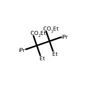 CCOC(=O)C(CC)(C(C)C)C(CC)(C(=O)OCC)C(C)C